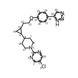 Clc1cnc(N2CCC(C3CC3CCOc3ccc(-c4cnn[nH]4)cc3)CC2)nc1